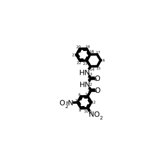 O=C(NC(=O)c1cc([N+](=O)[O-])cc([N+](=O)[O-])c1)NC1CCCc2ccccc21